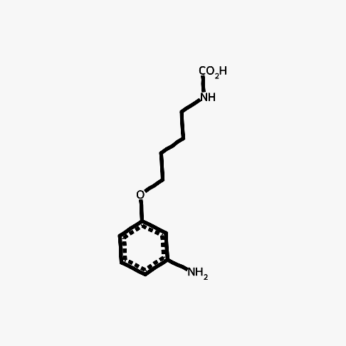 Nc1cccc(OCCCCNC(=O)O)c1